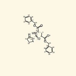 O=C(CC[C@H](NC(=O)[C@@H]1CCCN1)C(=O)OCc1ccccc1)OCc1ccccc1